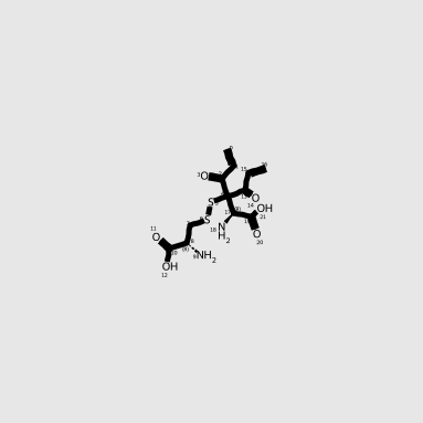 C=CC(=O)C(SSC[C@H](N)C(=O)O)(C(=O)C=C)[C@H](N)C(=O)O